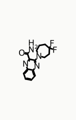 NC(=O)c1nc2ccccc2nc1N1CCCC(F)(F)CC1